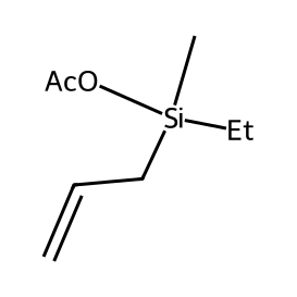 C=CC[Si](C)(CC)OC(C)=O